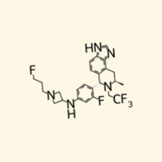 C[C@@H]1Cc2c(ccc3[nH]cnc23)[C@@H](c2ccc(NC3CN(CCCF)C3)cc2F)N1CC(F)(F)F